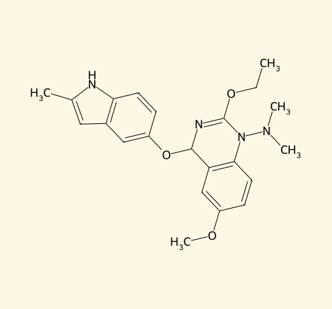 CCOC1=NC(Oc2ccc3[nH]c(C)cc3c2)c2cc(OC)ccc2N1N(C)C